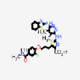 CCOC(=O)c1nc(Nc2nnc(Nc3nc4ccccc4s3)c(C)c2C)sc1CCCOc1ccc(C(=O)N(C)C)cc1F